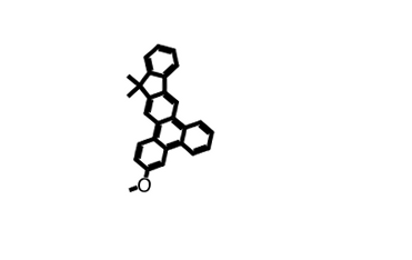 COc1ccc2c(c1)c1ccccc1c1cc3c(cc21)C(C)(C)c1ccccc1-3